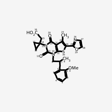 COc1ccccc1C(C)Cn1c(=O)n(C2(CC(=O)O)CC2)c(=O)c2c(C)c(-c3ncco3)sc21